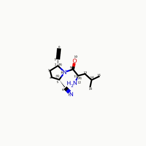 C#C[C@H]1CC[C@@H](C#N)N1C(=O)[C@H](N)CC(C)C